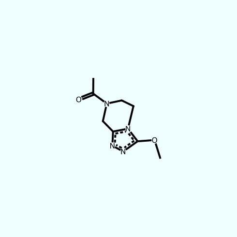 COc1nnc2n1CCN(C(C)=O)C2